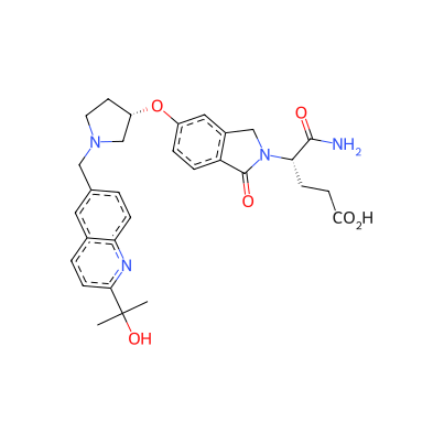 CC(C)(O)c1ccc2cc(CN3CC[C@H](Oc4ccc5c(c4)CN([C@@H](CCC(=O)O)C(N)=O)C5=O)C3)ccc2n1